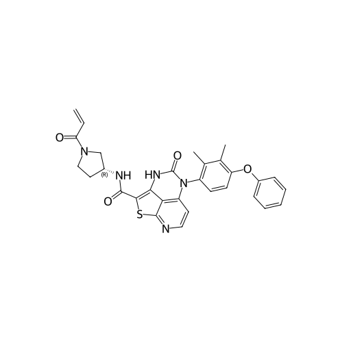 C=CC(=O)N1CC[C@@H](NC(=O)c2sc3nccc4c3c2NC(=O)N4c2ccc(Oc3ccccc3)c(C)c2C)C1